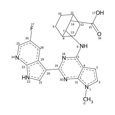 Cn1ccc2c(NC3C4CCC(CC4)C3C(=O)O)nc(-c3c[nH]c4ncc(F)cc34)nc21